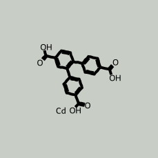 O=C(O)c1ccc(-c2ccc(C(=O)O)cc2-c2ccc(C(=O)O)cc2)cc1.[Cd]